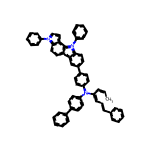 C\C=C/C(=C\C=C\c1ccccc1)N(c1ccc(-c2ccccc2)cc1)c1ccc(-c2ccc3c(c2)c2ccc4c(ccn4-c4ccccc4)c2n3-c2ccccc2)cc1